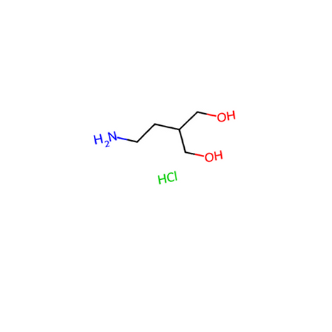 Cl.NCCC(CO)CO